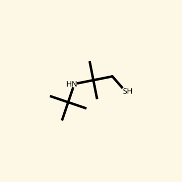 CC(C)(C)NC(C)(C)CS